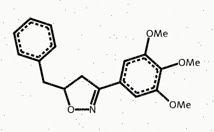 COc1cc(C2=NOC(Cc3ccccc3)C2)cc(OC)c1OC